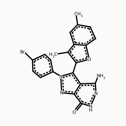 Cc1ccc2oc(-c3c4c(N)n[nH]c(=O)c4nn3-c3ccc(Br)cc3)c(C)c2c1